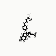 COC(=O)CCCc1ccc(OCc2cc(F)ccc2-c2ncc(C3CC3)s2)cc1